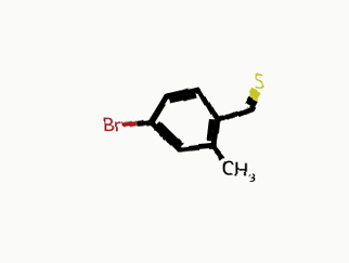 Cc1cc(Br)ccc1C=S